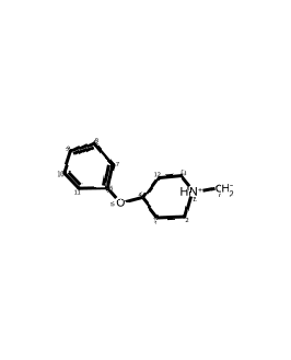 [CH2-][NH+]1CCC(Oc2ccccc2)CC1